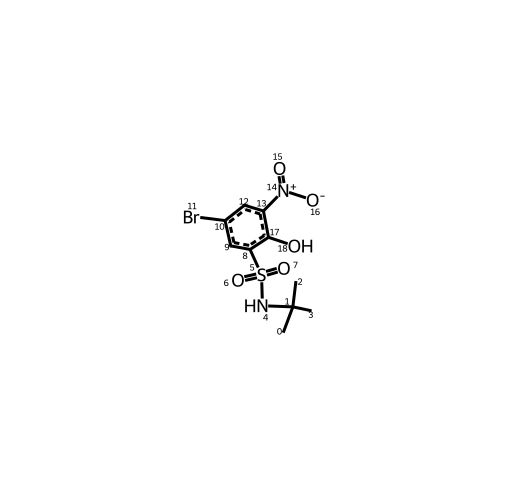 CC(C)(C)NS(=O)(=O)c1cc(Br)cc([N+](=O)[O-])c1O